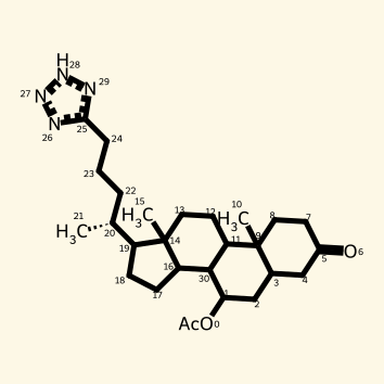 CC(=O)OC1CC2CC(=O)CCC2(C)C2CCC3(C)C(CCC3[C@H](C)CCCc3nn[nH]n3)C12